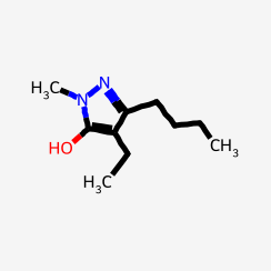 CCCCc1nn(C)c(O)c1CC